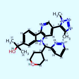 Cc1nnn(C)c1-c1cnc2c3ccc(C(C)(C)O)cc3n(C(c3cccnn3)C3CCOCC3)c2c1